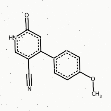 COc1ccc(-c2cc(=O)[nH]cc2C#N)cc1